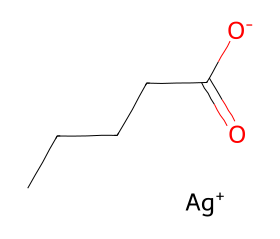 CCCCC(=O)[O-].[Ag+]